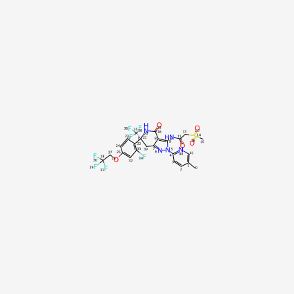 Cc1ccc(-n2nc3c(c2NC(=O)CS(C)(=O)=O)C(=O)N[C@@](c2ccc(OCC(F)(F)F)cc2F)(C(F)(F)F)C3)nc1